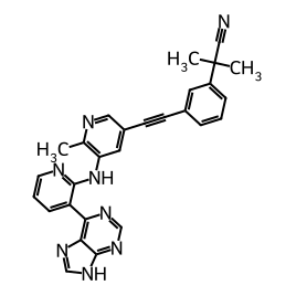 Cc1ncc(C#Cc2cccc(C(C)(C)C#N)c2)cc1Nc1ncccc1-c1ncnc2[nH]cnc12